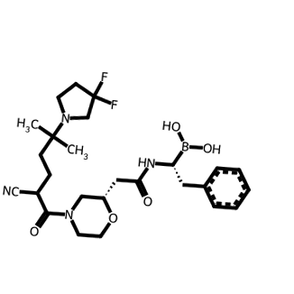 CC(C)(CCC(C#N)C(=O)N1CCO[C@@H](CC(=O)N[C@@H](Cc2ccccc2)B(O)O)C1)N1CCC(F)(F)C1